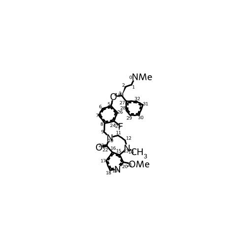 CNCC[C@H](Oc1ccc(CN2CCN(C)c3c(ccnc3OC)C2=O)c(F)c1)c1ccccc1